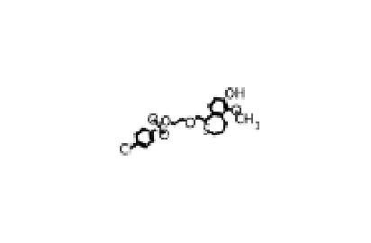 COc1c(O)ccc2c1CCCSC2COCCOS(=O)(=O)c1ccc(Cl)cc1